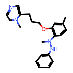 Cc1ccc(N(C)Nc2ccccc2)c(OCCCC2=CN=CCN2C)c1